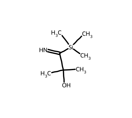 CC(C)(O)C(=N)[Si](C)(C)C